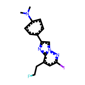 CN(C)c1ccc(-c2cn3nc(I)cc(CCF)c3n2)cc1